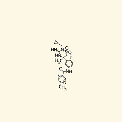 Cc1cnc(C(=O)Nc2ccc(F)c([C@]3(C)CS(=O)(=O)N(CC4CC4)C(=N)N3)c2)cn1